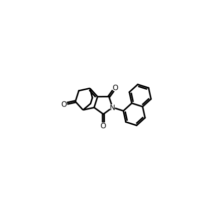 O=C1CC2=C3C(=O)N(c4cccc5ccccc45)C(=O)C3C1CC2